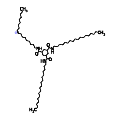 CCCCCCCC/C=C\CCCCCCCCNC(=O)C1CC(C(=O)NCCCCCCCCCCCCCCCCCC)CC(C(=O)NCCCCCCCCCCCCCCCCCC)C1